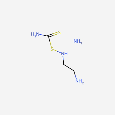 N.NCCNSC(N)=S